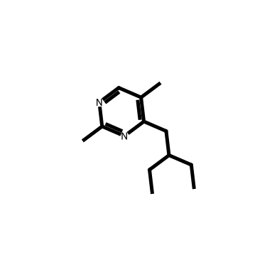 CCC(CC)Cc1nc(C)ncc1C